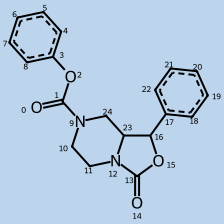 O=C(Oc1ccccc1)N1CCN2C(=O)OC(c3ccccc3)C2C1